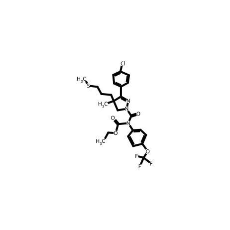 CCOC(=O)N(C(=O)N1CC(C)(CCCSC)C(c2ccc(Cl)cc2)=N1)c1ccc(OC(F)(F)F)cc1